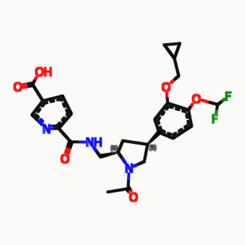 CC(=O)N1C[C@H](c2ccc(OC(F)F)c(OCC3CC3)c2)C[C@@H]1CNC(=O)c1ccc(C(=O)O)cn1